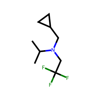 CC(C)N(CC1CC1)CC(F)(F)F